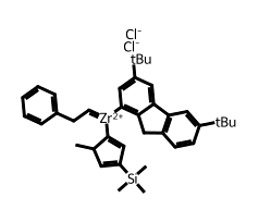 CC1C=C([Si](C)(C)C)C=[C]1[Zr+2](=[CH]Cc1ccccc1)[c]1cc(C(C)(C)C)cc2c1Cc1ccc(C(C)(C)C)cc1-2.[Cl-].[Cl-]